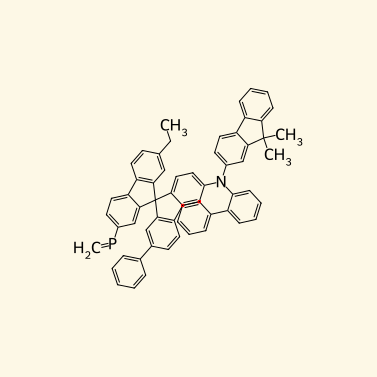 C=Pc1ccc2c(c1)C1(c3ccc(N(c4ccc5c(c4)C(C)(C)c4ccccc4-5)c4ccccc4-c4ccccc4)cc3-c3ccc(-c4ccccc4)cc31)c1cc(CC)ccc1-2